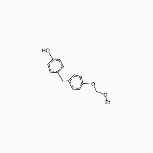 CCOCOc1ccc(Cc2ccc(O)cc2)cc1